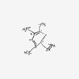 Cc1cc(N=P)c(C)cc1P